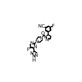 N#Cc1cc(F)cc(C2CC=NN2C(=O)N2CCN(c3ncc(F)c(-c4cn[nH]n4)n3)CC2)c1